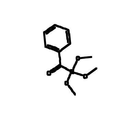 CO[Si](OC)(OC)C(=O)c1ccccc1